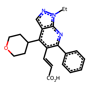 CCn1ncc2c(C3CCOCC3)c(C=CC(=O)O)c(-c3ccccc3)nc21